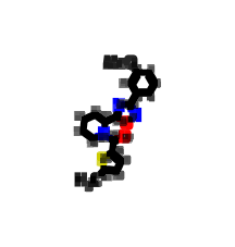 COc1cccc(-c2noc(C3CCCCN3C(=O)c3ccc(C)s3)n2)c1